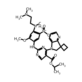 COc1cc(N(C)CCN(C)C)c([N+](=O)[O-])cc1Nc1ncc(C(=O)OC(C)C)c(N2CC3(CCC3)c3ncccc32)n1